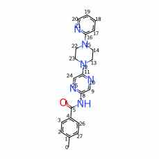 Cc1ccc(C(=O)Nc2cnc(N3CCN(c4ccccn4)CC3)cn2)cc1